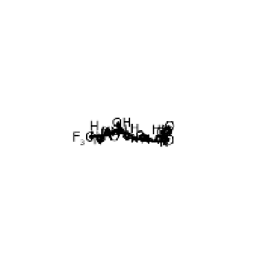 Cn1c(=O)n(C2CCC(=O)NC2=O)c2ccc(CCCN3CCO[C@@H](CNC[C@H]4CC[C@H](n5cc(NC(=O)c6coc(-c7ccnc(NCC(F)(F)F)c7)n6)c(C(C)(C)O)n5)CC4)C3)cc21